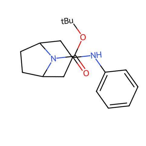 CC(C)(C)OC(=O)N1C2CCC1CC(Nc1ccccc1)C2